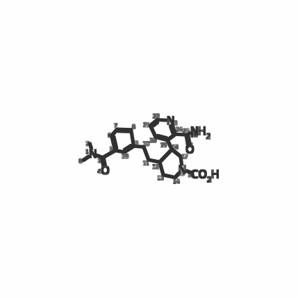 CN(C)C(=O)c1cccc(CCC2CCN(C(=O)O)CC2c2cccnc2C(N)=O)c1